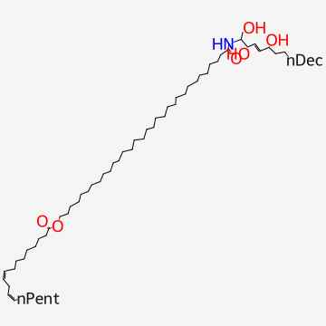 CCCCC/C=C\C/C=C\CCCCCCCC(=O)OCCCCCCCCCCCCCCCCCCCCCCCCCCCCCCCC(=O)NC(CO)C(O)/C=C/C(O)CCCCCCCCCCCC